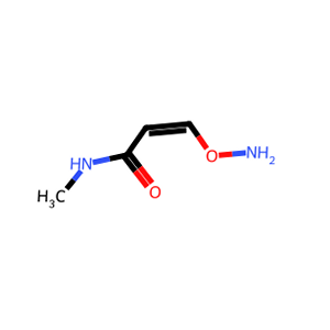 CNC(=O)/C=C\ON